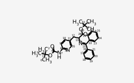 CC(C)(C)OC(=O)Nc1ccc(CC(N=C(c2ccccc2)c2ccccc2)C(=O)OC(C)(C)C)cn1